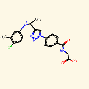 Cc1cc(NC(C)c2cn(-c3ccc(C(=O)NCC(=O)O)cc3)nn2)ccc1Cl